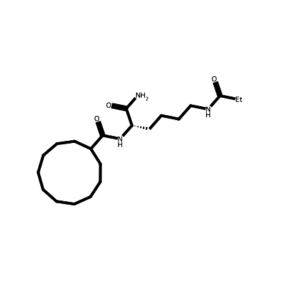 CCC(=O)NCCCC[C@H](NC(=O)C1CCCCCCCCCC1)C(N)=O